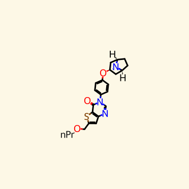 CCCOCc1cc2ncn(-c3ccc(O[C@H]4C[C@H]5CC[C@@H](C4)N5C)cc3)c(=O)c2s1